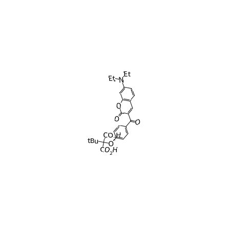 CCN(CC)c1ccc2cc(C(=O)c3ccc(OC(C(=O)O)(C(=O)O)C(C)(C)C)cc3)c(=O)oc2c1